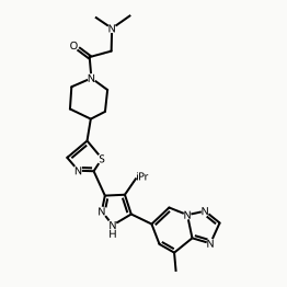 Cc1cc(-c2[nH]nc(-c3ncc(C4CCN(C(=O)CN(C)C)CC4)s3)c2C(C)C)cn2ncnc12